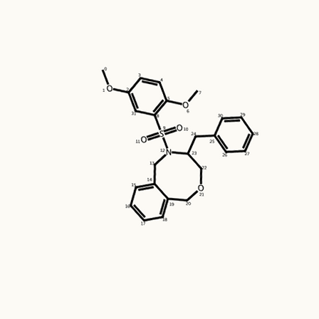 COc1ccc(OC)c(S(=O)(=O)N2Cc3ccccc3COCC2Cc2ccccc2)c1